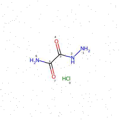 Cl.NNC(=O)C(N)=O